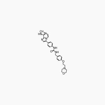 CNc1nccn2c(-c3ccc(NC(=O)NCc4ccc(OCCN5CCOCC5)cc4)cc3)cnc12